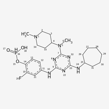 CN1CCC(N(C)c2nc(Nc3ccc(O[PH](=O)O)c(F)c3)nc(NC3CCCCCC3)n2)CC1